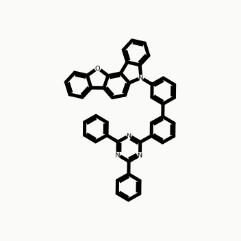 c1ccc(-c2nc(-c3ccccc3)nc(-c3cccc(-c4cccc(-n5c6ccccc6c6c7oc8ccccc8c7ccc65)c4)c3)n2)cc1